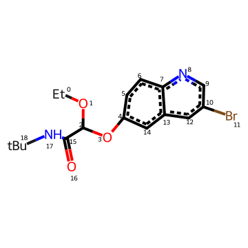 CCOC(Oc1ccc2ncc(Br)cc2c1)C(=O)NC(C)(C)C